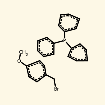 COc1ccc(CBr)cc1.c1ccc(P(c2ccccc2)c2ccccc2)cc1